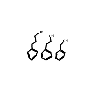 OCCCc1ccccc1.OCCc1ccccc1.OCc1ccccc1